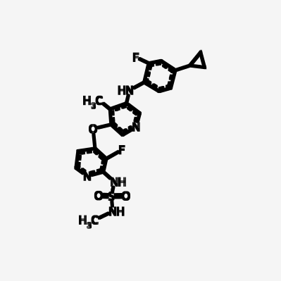 CNS(=O)(=O)Nc1nccc(Oc2cncc(Nc3ccc(C4CC4)cc3F)c2C)c1F